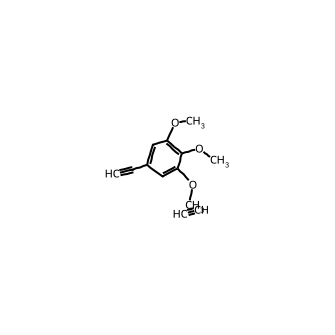 C#C.C#Cc1cc(OC)c(OC)c(OC)c1